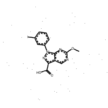 COc1ncc2c(C(=O)O)nn(-c3cccc(I)c3)c2n1